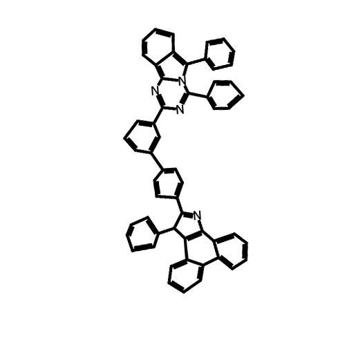 c1ccc(-c2nc(-c3cccc(-c4ccc(C5=Nc6c(c7ccccc7c7ccccc67)C5c5ccccc5)cc4)c3)nc3c4ccccc4c(-c4ccccc4)n23)cc1